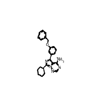 Nc1ncnn2c(C3CCCCC3)nc(-c3cccc(OCc4ccccc4)c3)c12